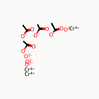 CC(=O)[O-].CC(=O)[O-].CC(=O)[O-].CC(=O)[O-].[Cr+4].[Cr+4].[Cr+4].[O-2].[O-2].[O-2].[O-2]